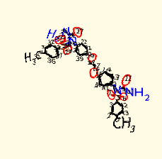 Cc1ccc(S(=O)(=O)N(C(N)=O)c2ccc(OCCOc3ccc(N(C(N)=O)S(=O)(=O)c4ccc(C)cc4)cc3)cc2)cc1